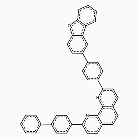 c1ccc(-c2ccc(-c3ccc4ccc5ccc(-c6ccc(-c7ccc8oc9ccccc9c8c7)cc6)nc5c4n3)cc2)cc1